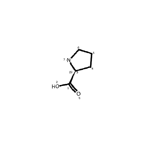 O=C(O)[C@@H]1CCC[N]1